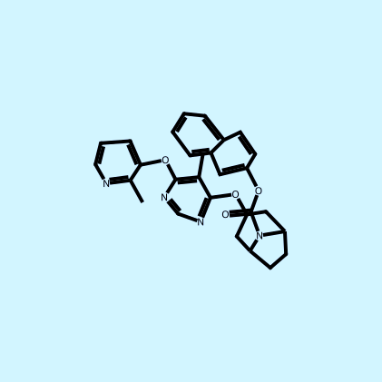 Cc1ncccc1Oc1ncnc(OC2CC3CCC(C2)N3C(=O)Oc2ccc3ccccc3c2)c1C